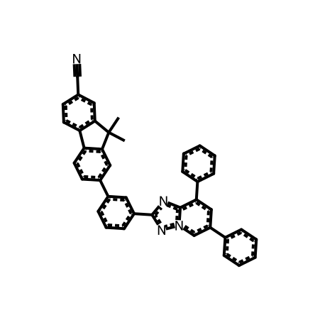 CC1(C)c2cc(C#N)ccc2-c2ccc(-c3cccc(-c4nc5c(-c6ccccc6)cc(-c6ccccc6)cn5n4)c3)cc21